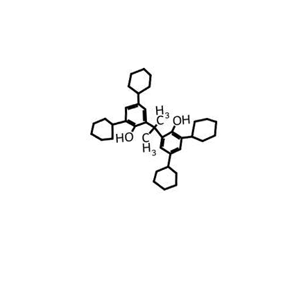 CC(C)(c1cc(C2CCCCC2)cc(C2CCCCC2)c1O)c1cc(C2CCCCC2)cc(C2CCCCC2)c1O